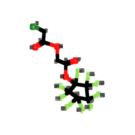 O=C(CCl)OCC(=O)OC1(F)C(F)(F)C(F)(F)C(F)(F)C1(F)F